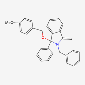 C=C1c2ccccc2C(OCc2ccc(OC)cc2)(c2ccccc2)N1Cc1ccccc1